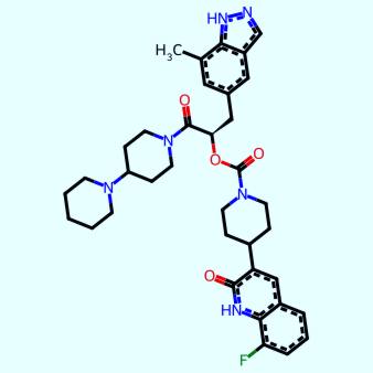 Cc1cc(C[C@@H](OC(=O)N2CCC(c3cc4cccc(F)c4[nH]c3=O)CC2)C(=O)N2CCC(N3CCCCC3)CC2)cc2cn[nH]c12